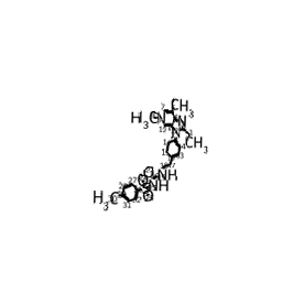 CCC1N=C2C(C)=CN(C)C=C2N1c1ccc(CCNC(=O)NS(=O)(=O)c2ccc(C)cc2)cc1